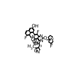 C#Cc1c(F)ccc2cc(O)cc(-c3nc(OC)c4c(NCc5cnoc5C)nc(OC[C@@]56CCCN5C[C@H](F)C6)nc4c3F)c12